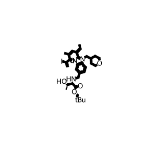 C=C(I)C(=O)/C(C)=C\C(=C/C)c1nc2cc(CN[C@H](C(=O)OCC(C)(C)C)[C@@H](C)O)ccc2n1CC1CCOCC1